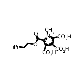 CC(C)CCOC(=O)c1c(C(=O)O)c(C(=O)O)c(C(=O)O)n1C